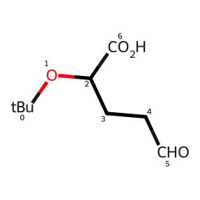 CC(C)(C)OC(CCC=O)C(=O)O